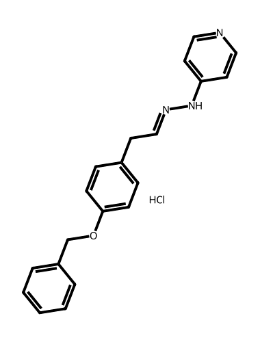 C(Cc1ccc(OCc2ccccc2)cc1)=NNc1ccncc1.Cl